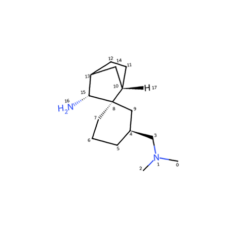 CN(C)C[C@H]1CCC[C@@]2(C1)[C@H]1CCC(C1)[C@H]2N